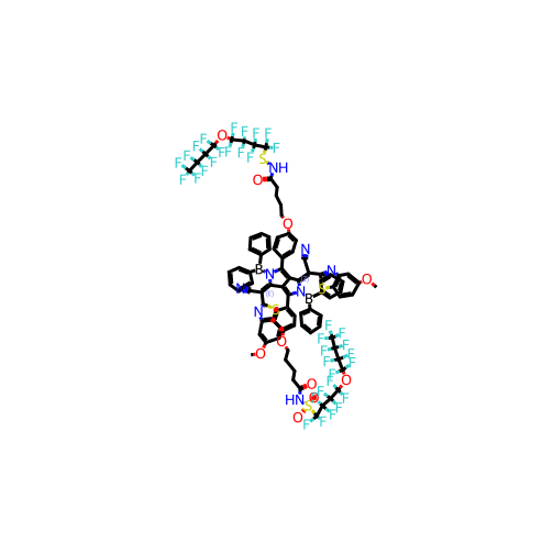 COc1ccc2sc(/C(C#N)=c3/c4c(-c5ccc(OCCCCC(=O)NSC(F)(F)C(F)(F)C(F)(F)C(F)(F)OC(F)(F)C(F)(F)C(F)(F)C(F)(F)F)cc5)n(B(c5ccccc5)c5ccccc5)/c(=C(\C#N)c5nc6cc(OC)ccc6s5)c4c(-c4ccc(OCCCCC(=O)NS(=O)(=O)C(F)(F)C(F)(F)C(F)(F)C(F)(F)OC(F)(F)C(F)(F)C(F)(F)C(F)(F)F)cc4)n3B(c3ccccc3)c3ccccc3)nc2c1